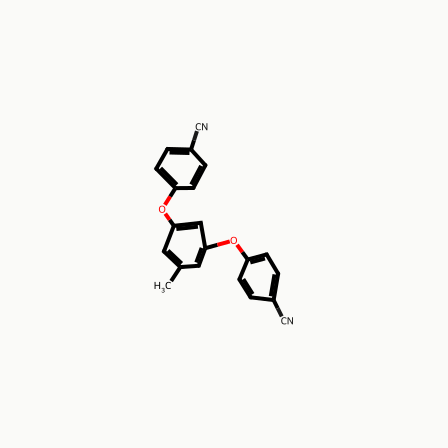 Cc1cc(Oc2ccc(C#N)cc2)cc(Oc2ccc(C#N)cc2)c1